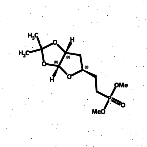 COP(=O)(CC[C@@H]1C[C@H]2OC(C)(C)O[C@H]2O1)OC